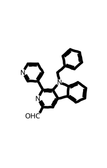 O=Cc1cc2c3ccccc3n(Cc3ccccc3)c2c(-c2cccnc2)n1